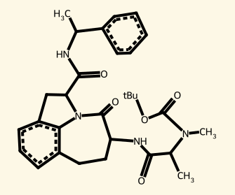 CC(NC(=O)C1Cc2cccc3c2N1C(=O)C(NC(=O)C(C)N(C)C(=O)OC(C)(C)C)CC3)c1ccccc1